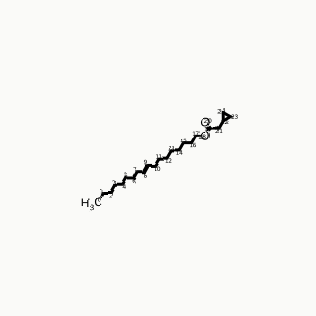 CCCCCCCCC=CCCCCCCCCOC(=O)CC1CC1